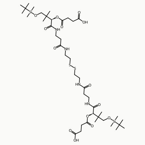 CC(C)(CO[Si](C)(C)C(C)(C)C)[C@@H](OC(=O)CCC(=O)O)C(=O)NCCC(=O)NCCSSCCNC(=O)CCNC(=O)[C@H](OC(=O)CCC(=O)O)C(C)(C)CO[Si](C)(C)C(C)(C)C